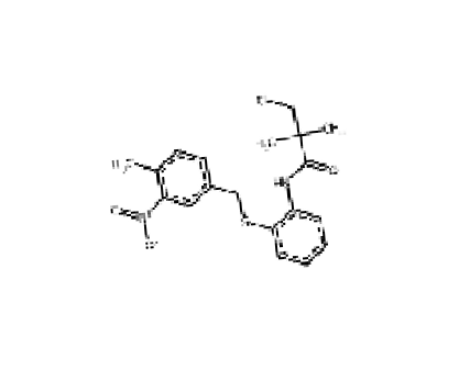 Cc1ccc(CSc2ccccc2NC(=O)C(C)(C)CCl)cc1[N+](=O)[O-]